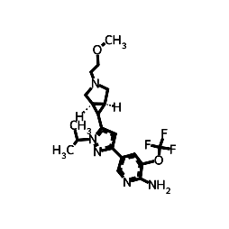 COCCN1C[C@@H]2C(c3cc(-c4cnc(N)c(OC(F)(F)F)c4)nn3C(C)C)[C@@H]2C1